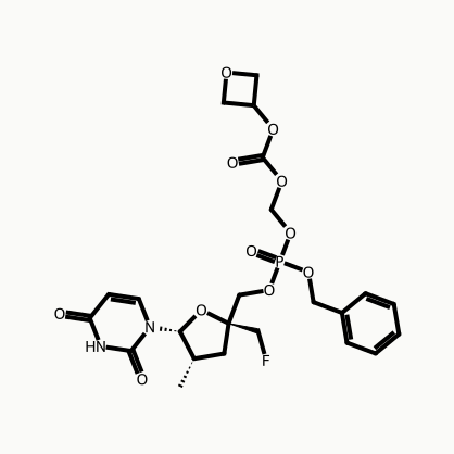 C[C@H]1C[C@@](CF)(COP(=O)(OCOC(=O)OC2COC2)OCc2ccccc2)O[C@H]1n1ccc(=O)[nH]c1=O